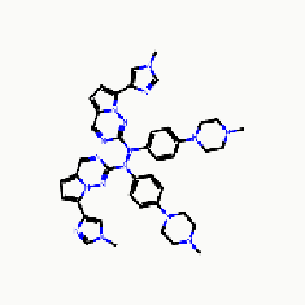 CN1CCN(c2ccc(N(c3ncc4ccc(-c5cn(C)cn5)n4n3)N(c3ccc(N4CCN(C)CC4)cc3)c3ncc4ccc(-c5cn(C)cn5)n4n3)cc2)CC1